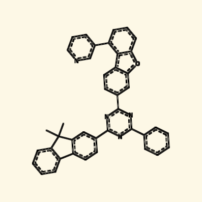 CC1(C)c2ccccc2-c2ccc(-c3nc(-c4ccccc4)nc(-c4ccc5c(c4)oc4cccc(-c6cccnc6)c45)n3)cc21